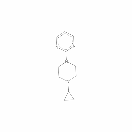 c1cnc(N2CCN(C3CC3)CC2)nc1